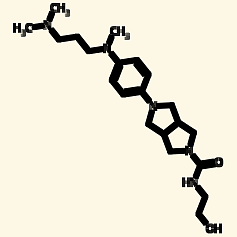 CN(C)CCCN(C)c1ccc(N2CC3CN(C(=O)NCCO)CC3C2)cc1